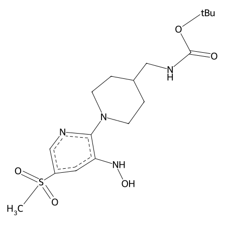 CC(C)(C)OC(=O)NCC1CCN(c2ncc(S(C)(=O)=O)cc2NO)CC1